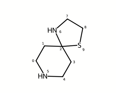 C1CC2(CCN1)NCCS2